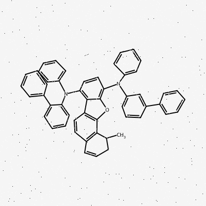 CC1CC=Cc2ccc3c(oc4c(N(c5ccccc5)c5cccc(-c6ccccc6)c5)ccc(N(c5ccccc5)c5ccccc5-c5ccccc5)c43)c21